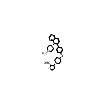 CN1CCN(c2c(-c3ccc(OC4CCN(C5CCO[C@H]5C=O)CC4)cc3)ccc3cccnc23)CC1